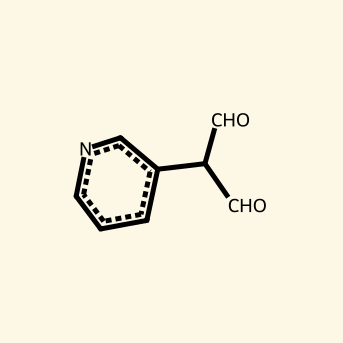 O=CC(C=O)c1cccnc1